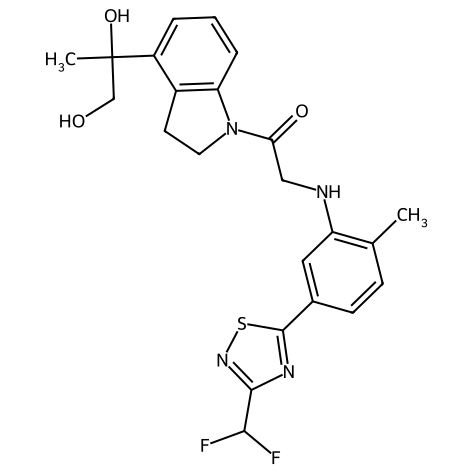 Cc1ccc(-c2nc(C(F)F)ns2)cc1NCC(=O)N1CCc2c1cccc2C(C)(O)CO